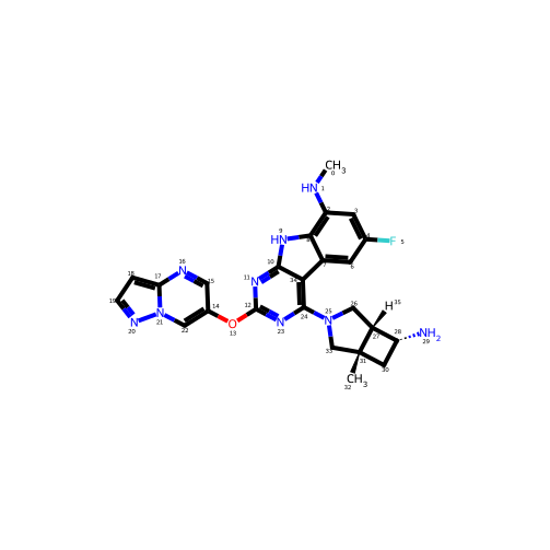 CNc1cc(F)cc2c1[nH]c1nc(Oc3cnc4ccnn4c3)nc(N3C[C@@H]4[C@H](N)C[C@]4(C)C3)c12